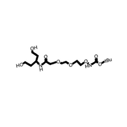 CC(C)(C)OC(=O)NOCCOCCOCC(=O)NC(CCO)CCO